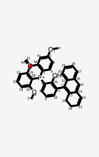 COc1ccc(P(c2cccc(-c3c4c(cc5ccccc35)C=CCC4)c2O)c2c(OC)cccc2OC)c(OC)c1